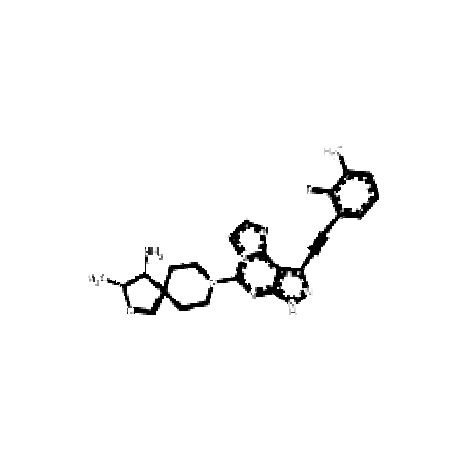 Cc1cccc(C#Cc2n[nH]c3nc(N4CCC5(CC4)CO[C@@H](C)[C@H]5N)n4ccnc4c23)c1F